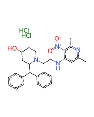 Cc1cc(NCCN2CCC(O)CC2C(c2ccccc2)c2ccccc2)c([N+](=O)[O-])c(C)n1.Cl.Cl